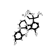 CCC(CC)(OC)c1ccc(Cl)c2nc3n(c12)CCCN3c1ccc(Cl)cc1Cl